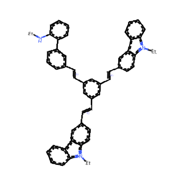 CCNc1ccccc1-c1cccc(/C=C/c2cc(/C=C/c3ccc4c(c3)c3ccccc3n4CC)cc(/C=C/c3ccc4c(c3)c3ccccc3n4CC)c2)c1